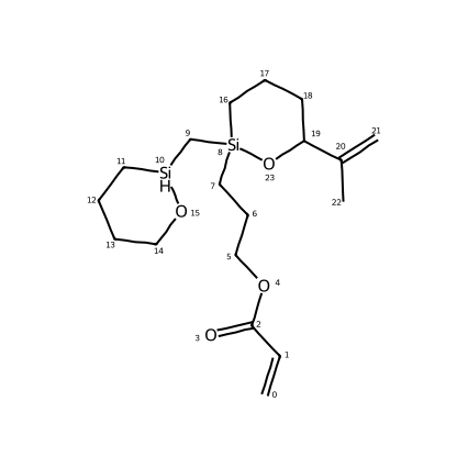 C=CC(=O)OCCC[Si]1(C[SiH]2CCCCO2)CCCC(C(=C)C)O1